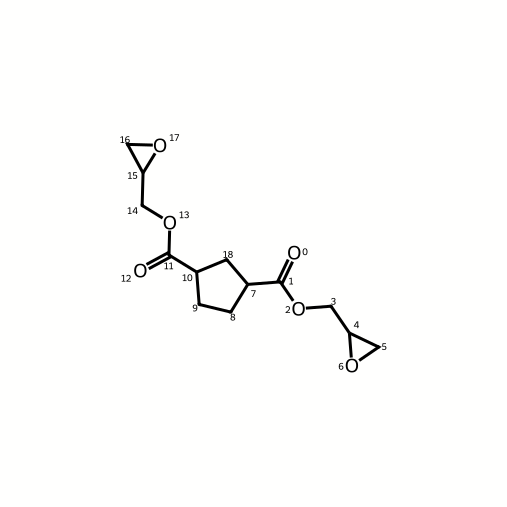 O=C(OCC1CO1)C1CCC(C(=O)OCC2CO2)C1